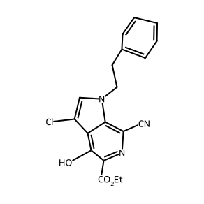 CCOC(=O)c1nc(C#N)c2c(c(Cl)cn2CCc2ccccc2)c1O